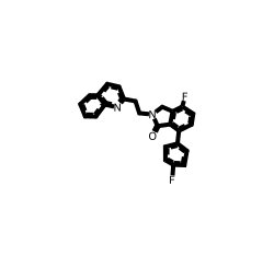 O=C1c2c(-c3ccc(F)cc3)ccc(F)c2CN1CCc1ccc2ccccc2n1